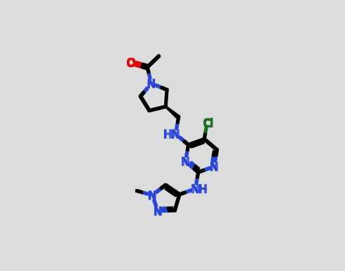 CC(=O)N1CC[C@H](CNc2nc(Nc3cnn(C)c3)ncc2Cl)C1